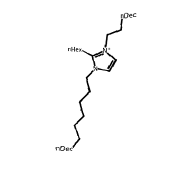 CCCCCCCCCCCCCCCCn1cc[n+](CCCCCCCCCCCC)c1CCCCCC